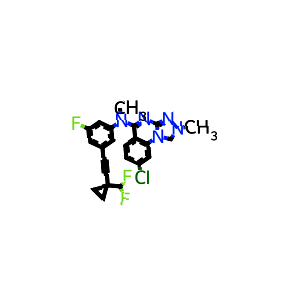 CN1CN2C(=N1)N=C(N(C)c1cc(F)cc(C#CC3(C(F)F)CC3)c1)c1ccc(Cl)cc12